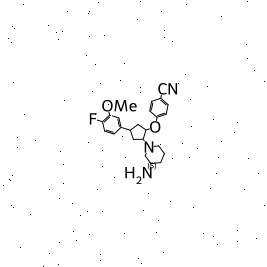 COc1cc(C2CC(Oc3ccc(C#N)cc3)C(N3CCC[C@H](N)C3)C2)ccc1F